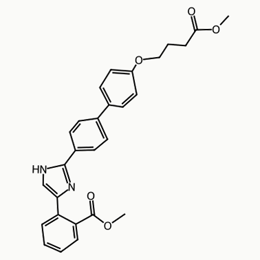 COC(=O)CCCOc1ccc(-c2ccc(-c3nc(-c4ccccc4C(=O)OC)c[nH]3)cc2)cc1